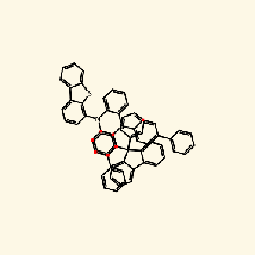 c1ccc(-c2ccc(N(c3ccccc3N(c3ccc(-c4ccccc4)cc3)c3cccc4c3sc3ccccc34)c3ccccc3C3(c4ccccc4)c4ccccc4-c4ccccc43)cc2)cc1